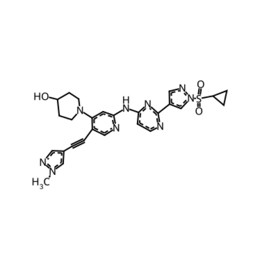 Cn1cc(C#Cc2cnc(Nc3ccnc(-c4cnn(S(=O)(=O)C5CC5)c4)n3)cc2N2CCC(O)CC2)cn1